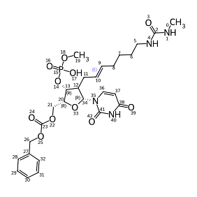 CNC(=O)NCCCC/C=C/CC1[C@@H](OP(=O)(O)OC)[C@@H](COC(=O)OCc2ccccc2)O[C@H]1n1ccc(=O)[nH]c1=O